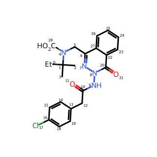 CCC(C)(C)N(Cc1nn(NC(=O)Cc2ccc(Cl)cc2)c(=O)c2ccccc12)C(=O)O